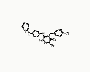 CC(C)c1n[nH]/c(=N\c2ccc(Oc3ccccn3)cc2)n(Cc2ccc(Cl)cc2)c1=O